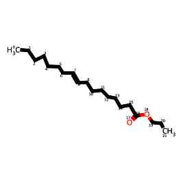 CCCCCCC/C=C/CCCCCCCC(=O)OCCC